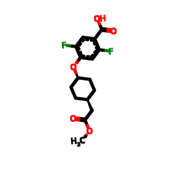 COC(=O)C[C@H]1CC[C@@H](Oc2cc(F)c(C(=O)O)cc2F)CC1